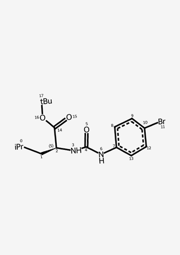 CC(C)C[C@H](NC(=O)Nc1ccc(Br)cc1)C(=O)OC(C)(C)C